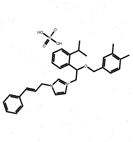 Cc1ccc(COC(C[n+]2ccn(CC=Cc3ccccc3)c2)c2ccccc2C(C)C)cc1C.O=P([O-])(O)O